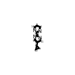 c1cnc(-c2ncc(C3CC3)cn2)nc1